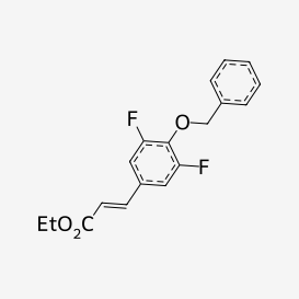 CCOC(=O)C=Cc1cc(F)c(OCc2ccccc2)c(F)c1